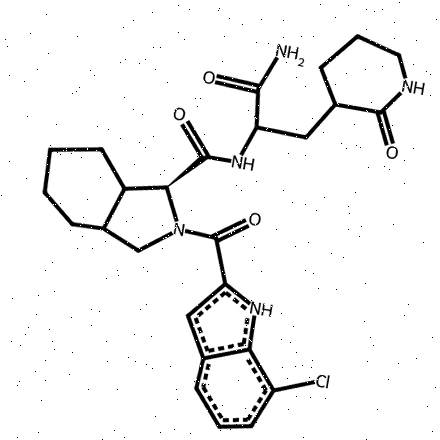 NC(=O)C(CC1CCCNC1=O)NC(=O)[C@@H]1C2CCCCC2CN1C(=O)c1cc2cccc(Cl)c2[nH]1